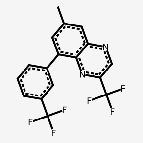 Cc1cc(-c2cccc(C(F)(F)F)c2)c2nc(C(F)(F)F)cnc2c1